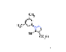 CCOC(=O)c1cnn(-c2cc(C)cc(C)c2)c1C#N